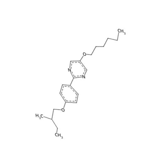 CCCCCCOc1cnc(-c2ccc(OCC(C)CC)cc2)nc1